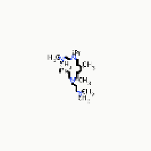 CC(C)CCN(CCCN(C)C)[C@@H](C)CC[C@@H](C)CCN(CCN(C)C)C(C)C